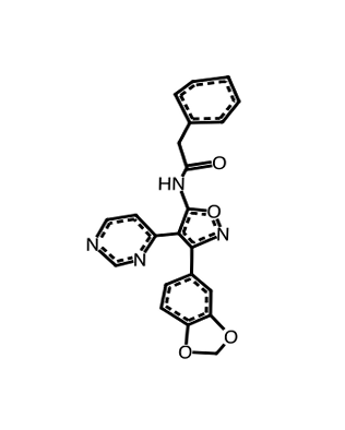 O=C(Cc1ccccc1)Nc1onc(-c2ccc3c(c2)OCO3)c1-c1ccncn1